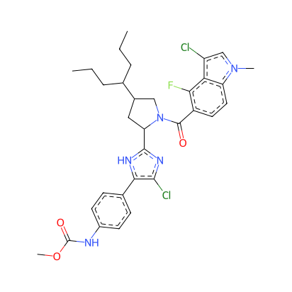 CCCC(CCC)C1CC(c2nc(Cl)c(-c3ccc(NC(=O)OC)cc3)[nH]2)N(C(=O)c2ccc3c(c(Cl)cn3C)c2F)C1